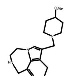 COC1CCN(Cc2cn3c4c2CCC=C4CNCC3)CC1